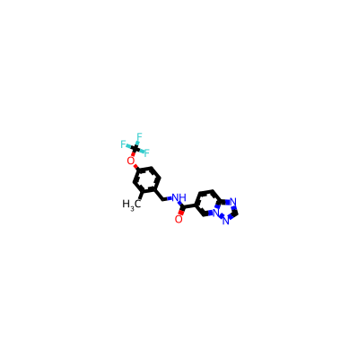 Cc1cc(OC(F)(F)F)ccc1CNC(=O)c1ccc2ncnn2c1